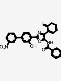 O=C(Nc1oc(-c2ccc(-c3cccc([N+](=O)[O-])c3)cc2O)nc1C1=CC=CCC1=S)c1ccccc1